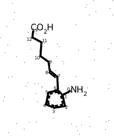 Nc1ccccc1/C=C/CCCCC(=O)O